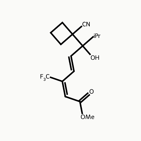 COC(=O)/C=C(\C=C\C(O)(C(C)C)C1(C#N)CCC1)C(F)(F)F